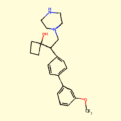 OC1(C(CN2CCNCC2)c2ccc(-c3cccc(OC(F)(F)F)c3)cc2)CCC1